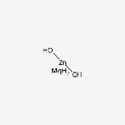 [MgH2].[OH][Zn][OH]